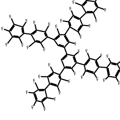 Fc1c(F)c(F)c(-c2c(F)c(F)c(-c3cc(-c4cc(-c5c(F)c(F)c(-c6c(F)c(F)c(F)c(F)c6F)c(F)c5F)c(F)c(-c5c(F)c(F)c(-c6c(F)c(F)c(F)c(F)c6F)c(F)c5F)c4F)c(F)c(-c4c(F)c(F)c(-c5c(F)c(F)c(F)c(F)c5F)c(F)c4F)c3F)c(F)c2F)c(F)c1F